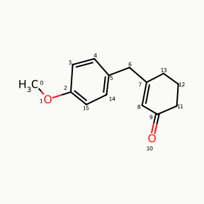 COc1ccc(CC2=CC(=O)CCC2)cc1